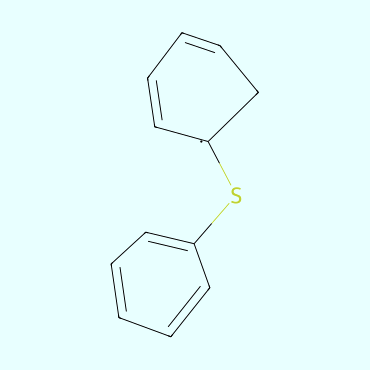 C1=CC[C](Sc2ccccc2)C=C1